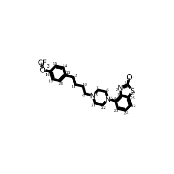 [O]c1nc2c(N3CCN(CCCCc4ccc(OC(F)(F)F)cc4)CC3)cccc2s1